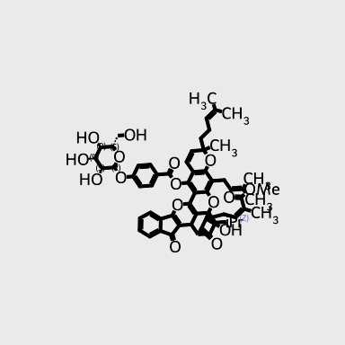 COC(=O)/C(C)=C\CC1(O)C(=O)C2CC(C(C)C)C13Oc1c(CC=C(C)C)c4c(c(OC(=O)c5ccc(O[C@H]6O[C@@H](CO)[C@H](O)[C@@H](O)[C@@H]6O)cc5)c1C1=C3C2C2=C(O1)c1ccccc1C2=O)C=CC(C)(CCC=C(C)C)O4